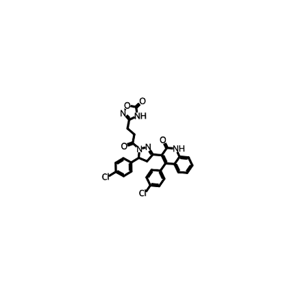 O=C(CCc1noc(=O)[nH]1)N1N=C(c2c(-c3ccc(Cl)cc3)c3ccccc3[nH]c2=O)CC1c1ccc(Cl)cc1